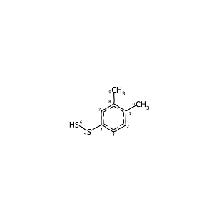 Cc1ccc(SS)cc1C